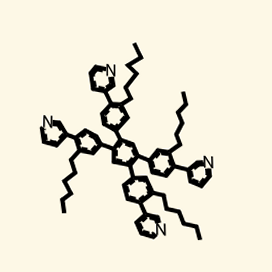 CCCCCCc1cc(-c2cc(-c3ccc(-c4cccnc4)c(CCCCCC)c3)c(-c3ccc(-c4cccnc4)c(CCCCCC)c3)cc2-c2ccc(-c3cccnc3)c(CCCCCC)c2)ccc1-c1cccnc1